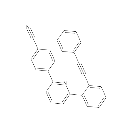 N#Cc1ccc(-c2cccc(-c3ccccc3C#Cc3ccccc3)n2)cc1